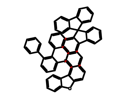 c1ccc(-c2ccccc2-c2c(-c3ccccc3)cccc2N(c2ccc3c(c2)-c2ccccc2C32c3ccccc3-c3ccccc32)c2cccc3oc4ccccc4c23)cc1